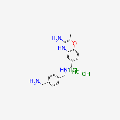 CC1=C(N)Nc2cc(CNCc3ccc(CN)cc3)ccc2O1.Cl.Cl.Cl